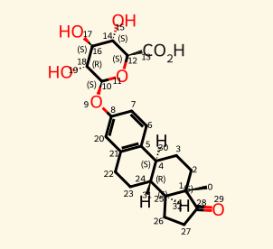 C[C@]12CC[C@@H]3c4ccc(O[C@@H]5O[C@H](C(=O)O)[C@@H](O)[C@H](O)[C@H]5O)cc4CC[C@H]3[C@@H]1CCC2=O